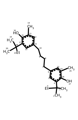 CCC(C)(C)c1cc(CCCCc2cc(C)c(O)c(C(C)(C)CC)c2)cc(C)c1O